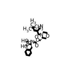 CC(C)(C)/C=C(\C#N)C(=O)N1CCOC[C@@H]1COC(=O)N[C@@H](Cc1ccccc1)B(O)O